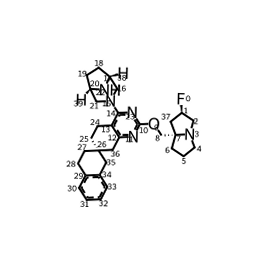 F[C@H]1CN2CCC[C@@]2(COc2nc3c(c(N4C[C@H]5CC[C@@H](C4)N5)n2)CC[C@]2(CCc4ccccc4C2)C3)C1